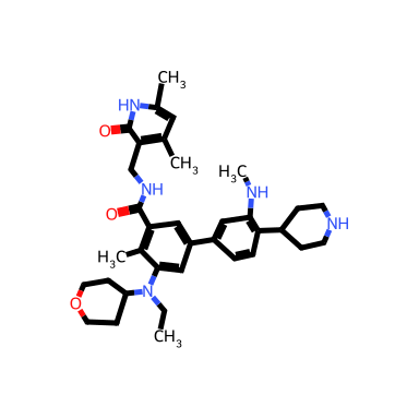 CCN(c1cc(-c2ccc(C3CCNCC3)c(NC)c2)cc(C(=O)NCc2c(C)cc(C)[nH]c2=O)c1C)C1CCOCC1